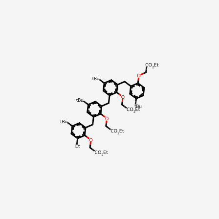 CCOC(=O)COc1ccc(C(C)(C)C)cc1Cc1cc(C(C)(C)C)cc(Cc2cc(C(C)(C)C)cc(Cc3cc(C(C)(C)C)cc(CC)c3OCC(=O)OCC)c2OCC(=O)OCC)c1OCC(=O)OCC